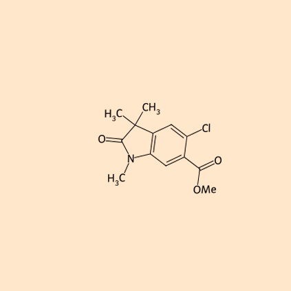 COC(=O)c1cc2c(cc1Cl)C(C)(C)C(=O)N2C